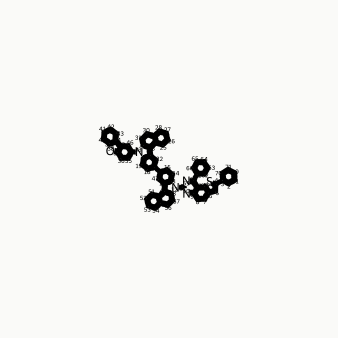 c1ccc(-c2cc3ccc4nc(-n5c6ccc(-c7ccc8c(c7)c7c9ccccc9ccc7n8-c7ccc8oc9ccccc9c8c7)cc6c6c7ccccc7ccc65)nc(-c5ccccc5)c4c3s2)cc1